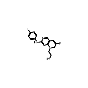 CC(C)CCN1CC(F)=Cc2cnc(Nc3ccc(F)cc3)cc21